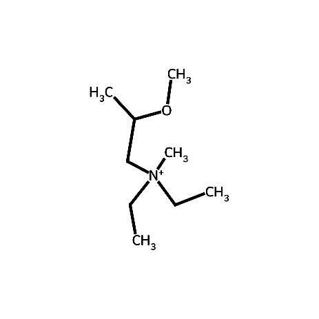 CC[N+](C)(CC)CC(C)OC